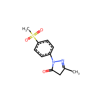 CC1=NN(c2ccc(S(C)(=O)=O)cc2)C(=O)C1